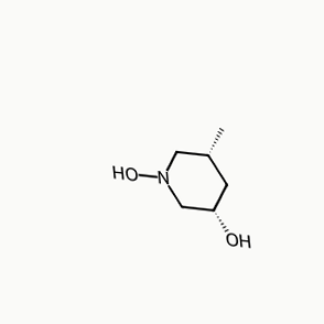 C[C@@H]1C[C@H](O)CN(O)C1